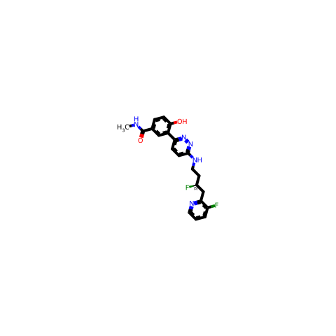 CNC(=O)c1ccc(O)c(-c2ccc(NCC[C@H](F)Cc3ncccc3F)nn2)c1